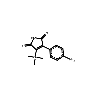 C[Si](C)(C)C1=C(c2ccc(N)cc2)C(=O)NC1=O